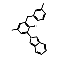 Cc1cccc(Cc2cc(C)cc(-n3nc4ccccc4n3)c2O)c1